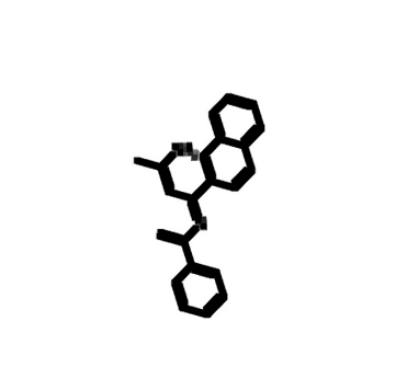 C=C(/N=C(\C=C(\C)N)c1ccc2ccccc2c1)c1ccccc1